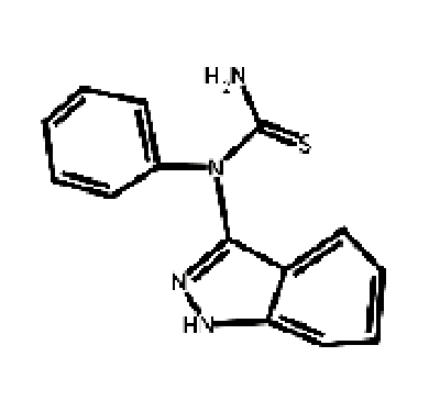 NC(=S)N(c1ccccc1)c1n[nH]c2ccccc12